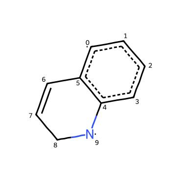 [c]1cccc2c1C=CC[N]2